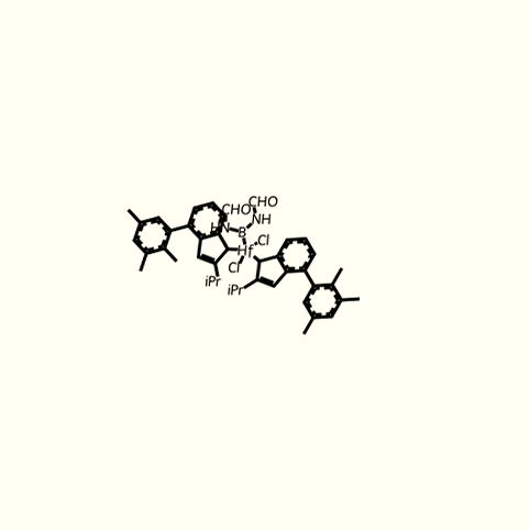 Cc1cc(C)c(C)c(-c2cccc3c2C=C(C(C)C)[CH]3[Hf]([Cl])([Cl])([B](NC=O)NC=O)[CH]2C(C(C)C)=Cc3c(-c4cc(C)cc(C)c4C)cccc32)c1